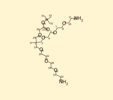 CC(COCCOCCOCCN)(COCCOCCOCCN)COCC(=O)OC(C)(C)C